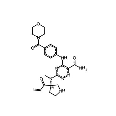 C=CC(=O)[C@@]1(N(C)c2nnc(C(N)=O)c(Nc3ccc(C(=O)N4CCOCC4)cc3)n2)CCNC1